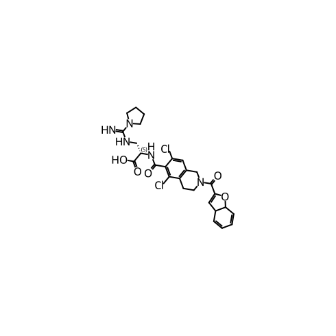 N=C(NC[C@H](NC(=O)c1c(Cl)cc2c(c1Cl)CCN(C(=O)C1=CC3C=CC=CC3O1)C2)C(=O)O)N1CCCC1